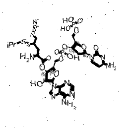 CC(C)SSC(CN=[N+]=[N-])CC(N)C(=O)O[C@H]1[C@@H](O)[C@H](n2cnc3c(N)ncnc32)O[C@@H]1COP(=O)(O)O[C@H]1C[C@H](n2ccc(N)nc2=O)O[C@@H]1COP(=O)(O)O